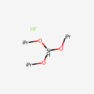 CC(C)O[SiH](OC(C)C)OC(C)C.F